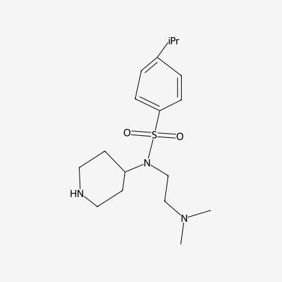 CC(C)c1ccc(S(=O)(=O)N(CCN(C)C)C2CCNCC2)cc1